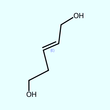 OC/C=C/CCO